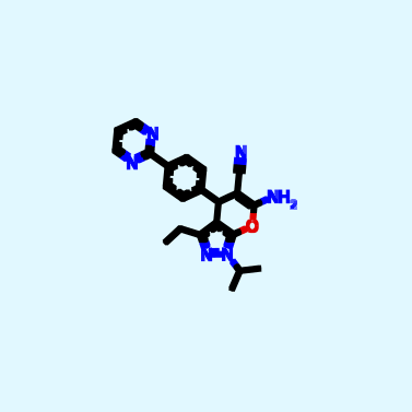 CCc1nn(C(C)C)c2c1C(c1ccc(-c3ncccn3)cc1)C(C#N)=C(N)O2